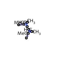 COC1C=C(N(c2ccc(-c3ccc(N(C4=CC(OC)C(/C=C/c5ccccc5)C=C4)c4ccc(C)cc4C)cc3)cc2)c2ccc(C)cc2C)C=CC1/C=C/c1cc#ccc1